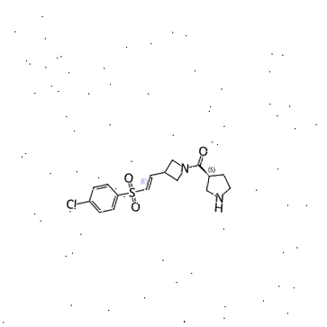 O=C([C@H]1CCNC1)N1CC(/C=C/S(=O)(=O)c2ccc(Cl)cc2)C1